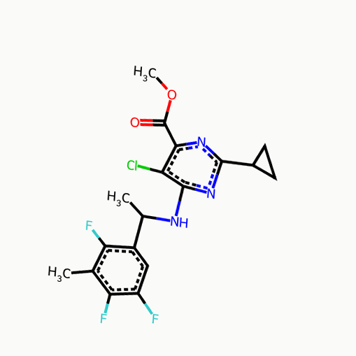 COC(=O)c1nc(C2CC2)nc(NC(C)c2cc(F)c(F)c(C)c2F)c1Cl